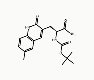 Cc1ccc2[nH]c(=O)c(C[C@H](NC(=O)OC(C)(C)C)C(N)=O)cc2c1